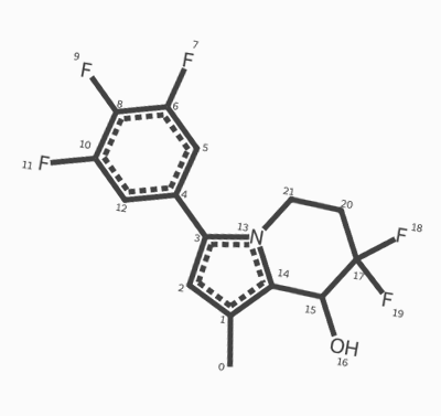 Cc1cc(-c2cc(F)c(F)c(F)c2)n2c1C(O)C(F)(F)CC2